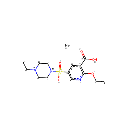 CCOc1ncc(S(=O)(=O)N2CCN(CC)CC2)cc1C(=O)O.[Na]